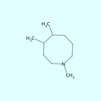 CC1CCCN(C)CCC1C